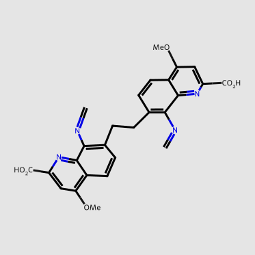 C=Nc1c(CCc2ccc3c(OC)cc(C(=O)O)nc3c2N=C)ccc2c(OC)cc(C(=O)O)nc12